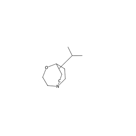 CC(C)C1CCN2CCOC1CC2